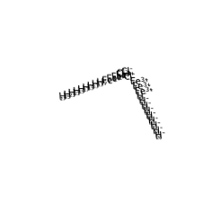 [Cl-].[Cl-].[Cl-].[Fe+3].[Fe+3].[Fe+3].[Fe+3].[Fe+3].[Fe+3].[Fe+3].[H-].[H-].[H-].[H-].[H-].[H-].[H-].[H-].[H-].[H-].[H-].[H-].[H-].[H-].[H-].[H-].[H-].[H-]